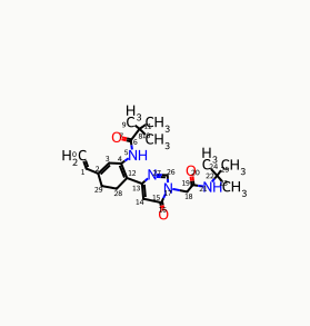 C=CC1=CC(NC(=O)C(C)(C)C)=C(c2cc(=O)n(CC(=O)NC(C)(C)C)cn2)CC1